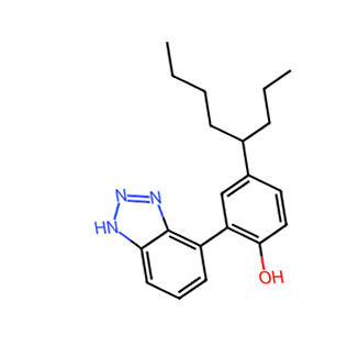 CCCCC(CCC)c1ccc(O)c(-c2cccc3[nH]nnc23)c1